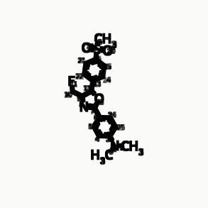 CN(C)c1ccc(C2=NC(CF)C(c3ccc(S(C)(=O)=O)cc3)O2)cc1